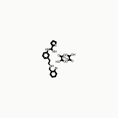 N=C(Nc1cccc(CCNCc2ccccc2Br)c1)c1cccs1.O=C(O)C(=O)O.O=C(O)C(=O)O